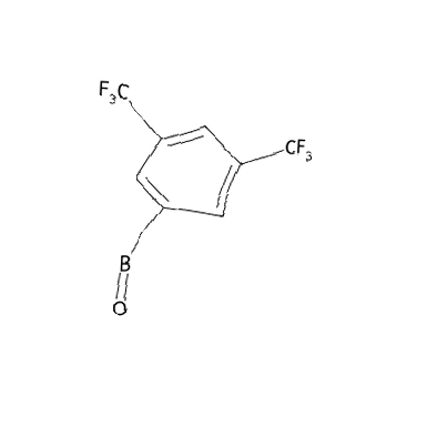 O=Bc1cc(C(F)(F)F)cc(C(F)(F)F)c1